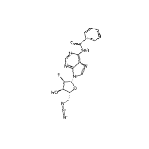 [N-]=[N+]=NC[C@H]1O[C@@H](n2cnc3c(NC(=O)c4ccccc4)ncnc32)[C@H](F)[C@@H]1O